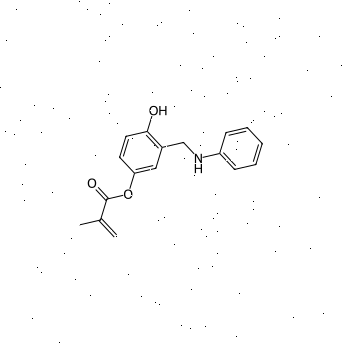 C=C(C)C(=O)Oc1ccc(O)c(CNc2ccccc2)c1